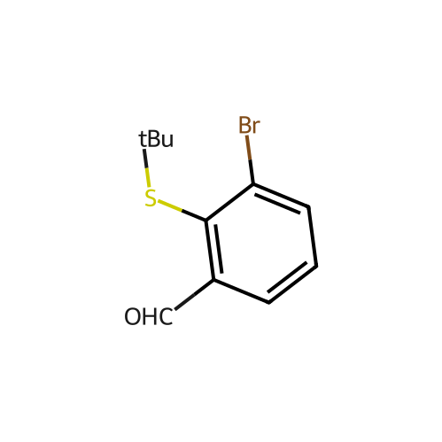 CC(C)(C)Sc1c(Br)cccc1C=O